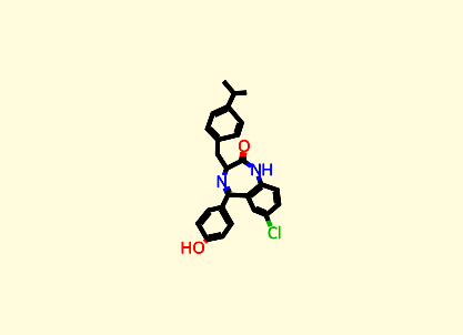 CC(C)c1ccc(CC2N=C(c3ccc(O)cc3)c3cc(Cl)ccc3NC2=O)cc1